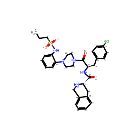 CCCS(=O)(=O)Nc1ccccc1N1CCN(C(=O)[C@@H](Cc2ccc(Cl)cc2)NC(=O)[C@@H]2Cc3ccccc3CN2)CC1